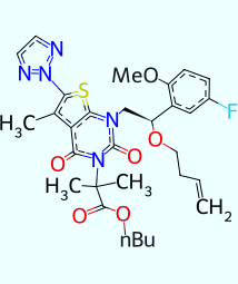 C=CCCO[C@@H](Cn1c(=O)n(C(C)(C)C(=O)OCCCC)c(=O)c2c(C)c(-n3nccn3)sc21)c1cc(F)ccc1OC